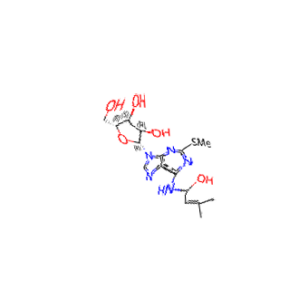 CSc1nc(NC(O)C=C(C)C)c2ncn([C@@H]3O[C@H](CO)[C@@H](O)[C@H]3O)c2n1